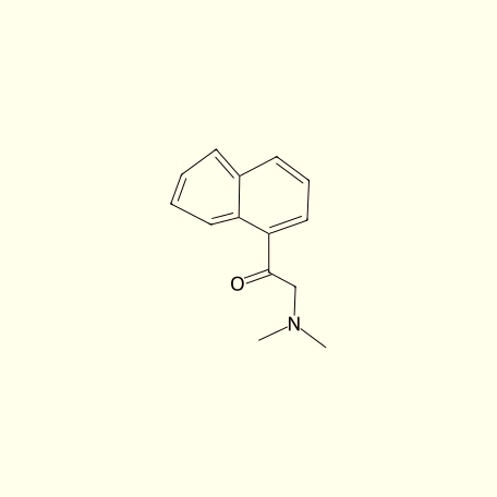 CN(C)CC(=O)c1cccc2ccccc12